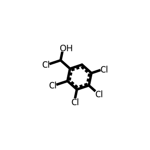 OC(Cl)c1cc(Cl)c(Cl)c(Cl)c1Cl